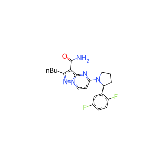 CCCCc1nn2ccc(N3CCCC3c3cc(F)ccc3F)nc2c1C(N)=O